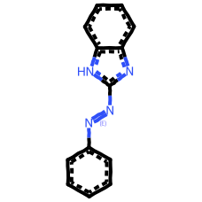 c1ccc(/N=N/c2nc3ccccc3[nH]2)cc1